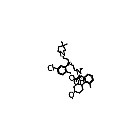 COC1CCC(c2c(C)cccc2[C@H](C(=O)O)N(C)CC[C@H](CCN2CCC(C)(C)C2)c2cc(Cl)ccc2C)CC1